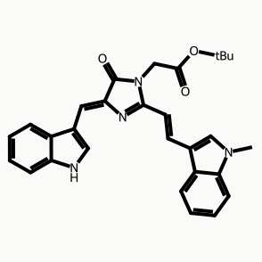 Cn1cc(/C=C/C2=NC(=C\c3c[nH]c4ccccc34)/C(=O)N2CC(=O)OC(C)(C)C)c2ccccc21